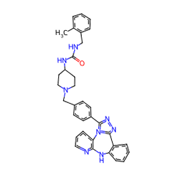 Cc1ccccc1CNC(=O)NC1CCN(Cc2ccc(-c3nnc4n3-c3cccnc3Nc3ccccc3-4)cc2)CC1